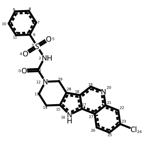 O=C(NS(=O)(=O)c1ccccc1)N1CCc2[nH]c3c(cnc4cc(Cl)ccc43)c2C1